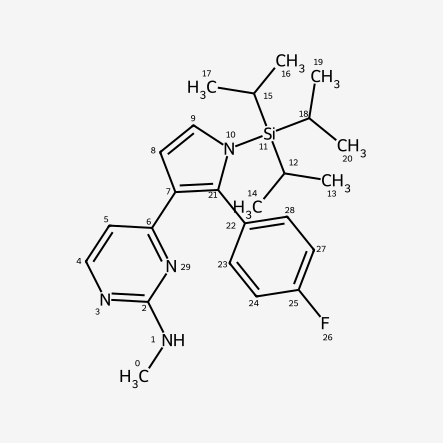 CNc1nccc(-c2ccn([Si](C(C)C)(C(C)C)C(C)C)c2-c2ccc(F)cc2)n1